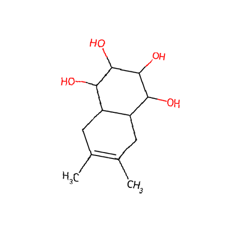 CC1=C(C)CC2C(O)C(O)C(O)C(O)C2C1